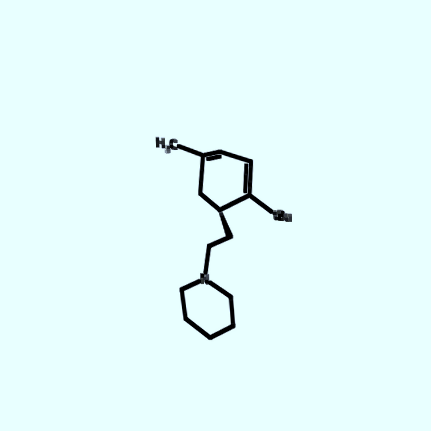 CC1=CC=C(C(C)(C)C)[C@@H](CCN2CCCCC2)C1